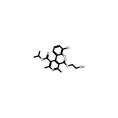 Cc1nc(C)c(C(=O)OC(C)C)c(-c2cccc(Cl)c2Cl)c1C(=O)OCCO